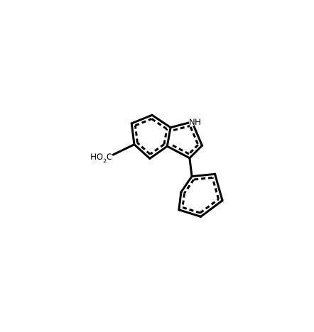 O=C(O)c1ccc2[nH]cc(-c3ccccc3)c2c1